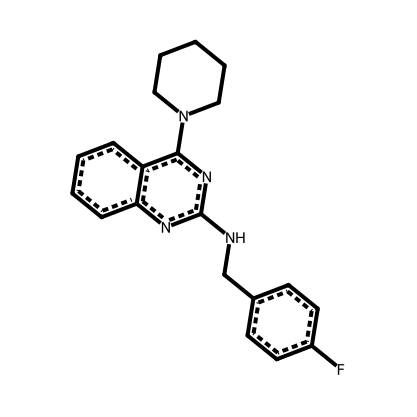 Fc1ccc(CNc2nc(N3CCCCC3)c3ccccc3n2)cc1